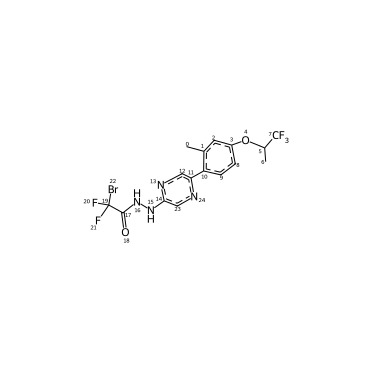 Cc1cc(OC(C)C(F)(F)F)ccc1-c1cnc(NNC(=O)C(F)(F)Br)cn1